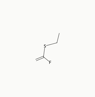 C=C(F)SCC